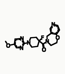 COc1cnc(N2CCC(F)(C(=O)N3CCOc4ccncc4C3)CC2)nc1